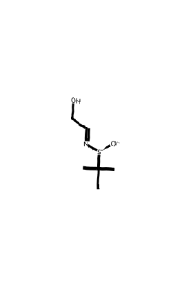 CC(C)(C)[S@+]([O-])/N=C/CO